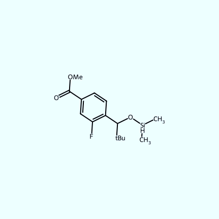 COC(=O)c1ccc(C(O[SiH](C)C)C(C)(C)C)c(F)c1